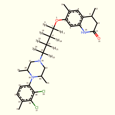 [2H]C([2H])(Oc1cc2c(cc1C)C(C)CC(=O)N2)C([2H])([2H])C([2H])([2H])C([2H])([2H])N1CC(C)N(c2ccc(C)c(Cl)c2Cl)C(C)C1